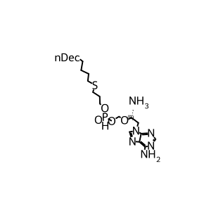 CCCCCCCCCCCCCCSCCCO[PH](=O)OCO[C@H](C)Cn1cnc2c(N)ncnc21.N